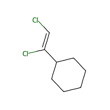 ClC=C(Cl)C1CCCCC1